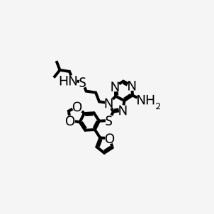 CC(C)CNSCCCn1c(Sc2cc3c(cc2-c2ccco2)OCO3)nc2c(N)ncnc21